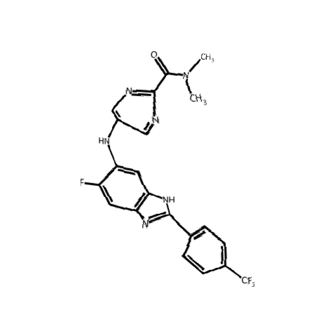 CN(C)C(=O)c1ncc(Nc2cc3[nH]c(-c4ccc(C(F)(F)F)cc4)nc3cc2F)cn1